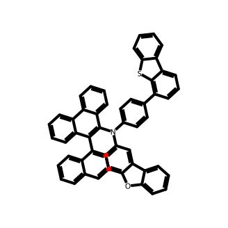 c1ccc2c(-c3c(N(c4ccc(-c5cccc6c5sc5ccccc56)cc4)c4ccc5oc6ccccc6c5c4)c4ccccc4c4ccccc34)cccc2c1